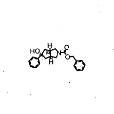 O=C(OCc1ccccc1)N1C[C@@H]2C[C@@](O)(c3ccccc3)C[C@@H]2C1